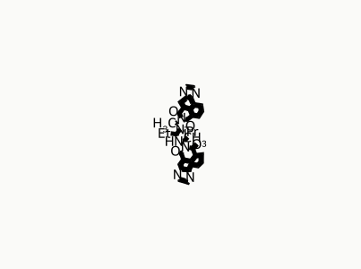 CCC(NC(C)N1C(=O)c2cccc3c2c(cc2nccnc23)C1=O)N(C(C)C)C(C)N1C(=O)c2cccc3c2c(cc2nccnc23)C1=O